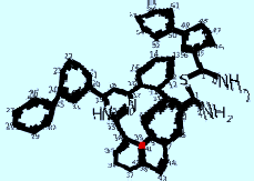 NC(SC(N)c1cc2c(cc1C1C=CC=CC1C1=CC(c3cccc(-c4ccccc4)c3)NC(C3=CCCC=C3)=N1)CCC=C2)c1cccc(-c2ccccc2)c1